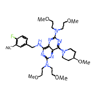 COCCN(CCOC)c1nc(N2CCC(OC)CC2)c2nc(N(CCOC)CCOC)nc(NCc3ccc(F)c(C#N)c3)c2n1